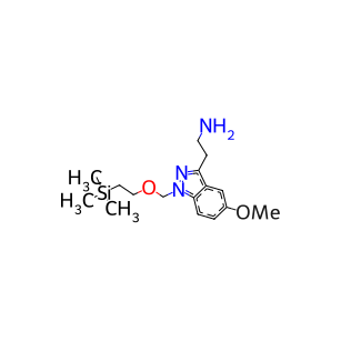 COc1ccc2c(c1)c(CCN)nn2COCC[Si](C)(C)C